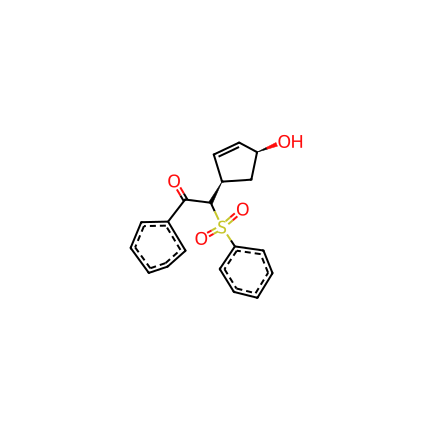 O=C(c1ccccc1)C([C@H]1C=C[C@@H](O)C1)S(=O)(=O)c1ccccc1